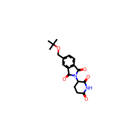 CC(C)(C)OCc1ccc2c(c1)C(=O)N(C1CCC(=O)NC1=O)C2=O